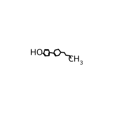 CCCCC1CC=C(c2ccc(O)cc2)CC1